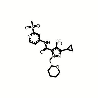 CS(=O)(=O)c1cc(NC(=O)c2c(C(F)(F)F)c(C3CC3)nn2C[C@H]2CCCCO2)ccn1